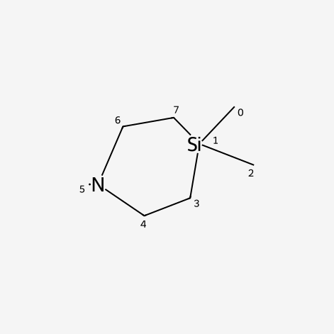 C[Si]1(C)CC[N]CC1